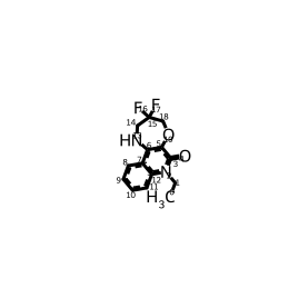 CCn1c(=O)c2c(c3ccccc31)NCC(F)(F)CO2